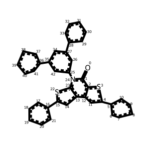 O=c1c2sc(-c3ccccc3)cc2c2cc(-c3ccccc3)sc2n1-c1cc(-c2ccccc2)cc(-c2ccccc2)c1